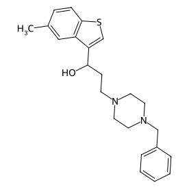 Cc1ccc2scc(C(O)CCN3CCN(Cc4ccccc4)CC3)c2c1